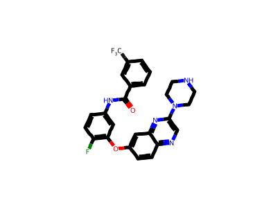 O=C(Nc1ccc(F)c(Oc2ccc3ncc(N4CCNCC4)nc3c2)c1)c1cccc(C(F)(F)F)c1